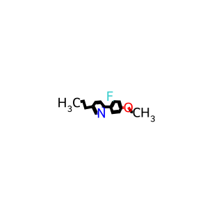 CCCc1ccc(-c2ccc(OCC)cc2F)nc1